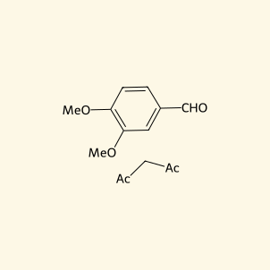 CC(=O)CC(C)=O.COc1ccc(C=O)cc1OC